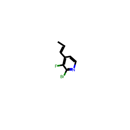 CC=Cc1ccnc(Br)c1F